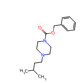 CC(C)CCN1CCN(C(=O)OCc2ccccc2)CC1